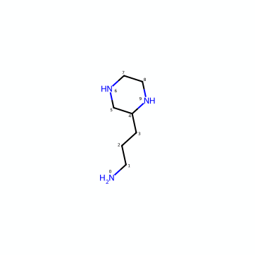 NCCCC1CNCCN1